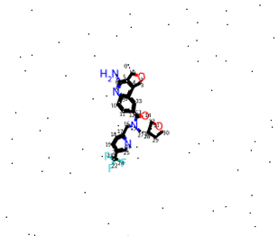 C[C@@H]1OCc2c1c(N)nc1ccc(C(=O)N(Cc3ccc(C(F)(F)F)cn3)C[C@H]3CCOC3)cc21